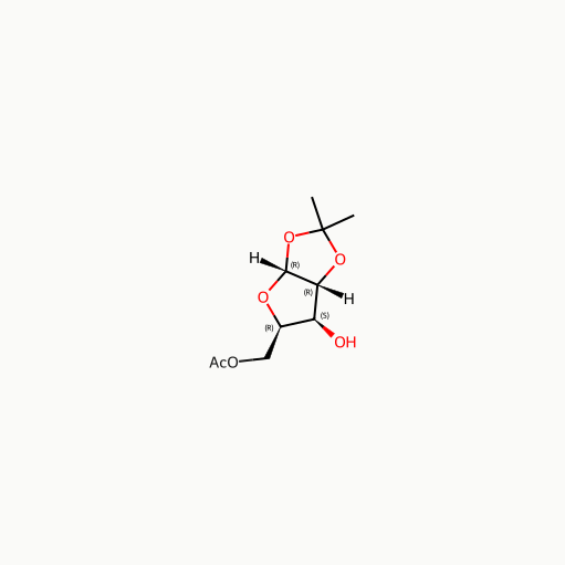 CC(=O)OC[C@H]1O[C@@H]2OC(C)(C)O[C@@H]2[C@H]1O